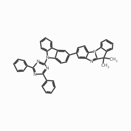 CC1(C)c2ccccc2-n2c1nc1cc(-c3ccc4c(c3)c3ccccc3n4-c3nc(-c4ccccc4)nc(-c4ccccc4)n3)ccc12